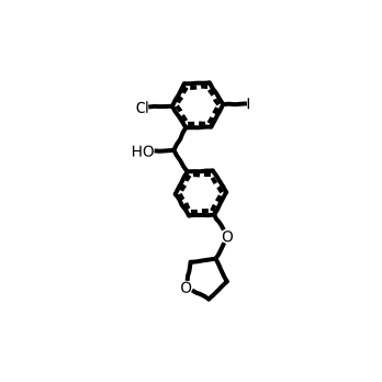 OC(c1ccc(OC2CCOC2)cc1)c1cc(I)ccc1Cl